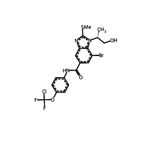 CSc1nc2cc(C(=O)Nc3ccc(OC(F)(F)Cl)cc3)cc(Br)c2n1[C@H](C)CO